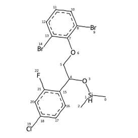 C[SiH](C)OC(COc1c(Br)cccc1Br)c1ccc(Cl)cc1F